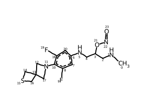 CNCC(CNc1cc(F)c(N2CC3(CSC3)C2)c(F)c1)ON=O